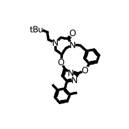 Cc1cccc(C)c1-c1cc2nc(n1)Oc1cccc(c1)CN1CC(CN(CCC(C)(C)C)CC1=O)O2